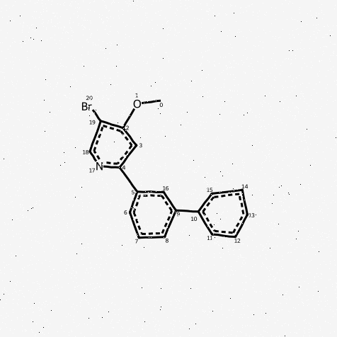 COc1cc(-c2cccc(-c3ccccc3)c2)ncc1Br